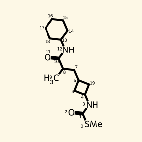 CSC(=O)NC1CC(CC(C)C(=O)NC2CCCCC2)C1